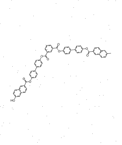 Cc1ccc2cc(C(=O)Oc3ccc(-c4ccc(OC(=O)c5cccc(C(=O)Oc6ccc(-c7ccc(OC(=O)c8ccc9cc(O)ccc9c8)cc7)cc6)c5)cc4)cc3)ccc2c1